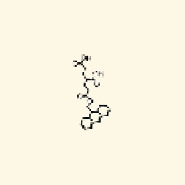 O=C(O)CCC(CCC(=O)OCc1c2ccccc2cc2ccccc12)C(=O)O